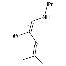 CC(C)=N/C(=C\NC(C)C)C(C)C